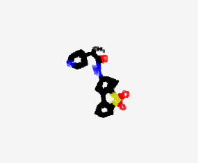 CC(C(=O)Nc1ccc2c(c1)-c1ccccc1S2(=O)=O)c1ccncc1